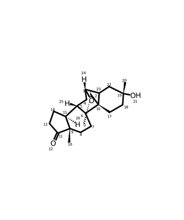 C[C@H]1O[C@@H]2C[C@@H]3C(CC[C@]4(C)C(=O)CC[C@@H]34)[C@]13CC[C@@](C)(O)CC23